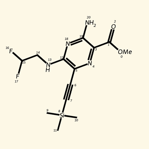 COC(=O)c1nc(C#C[Si](C)(C)C)c(NCC(F)F)nc1N